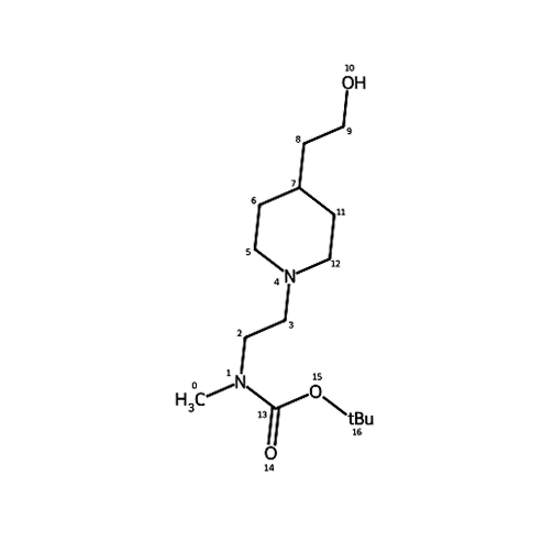 CN(CCN1CCC(CCO)CC1)C(=O)OC(C)(C)C